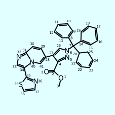 COC(=O)c1nn(C(c2ccccc2)(c2ccccc2)C2C=CC=CC2)cc1-c1ccc2ncc(-c3nccs3)n2c1